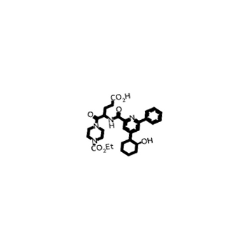 CCOC(=O)N1CCN(C(=O)C(CCC(=O)O)NC(=O)c2cc(C3CCCC[C@@H]3O)cc(-c3ccccc3)n2)CC1